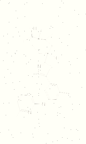 Cc1cc(Nc2nccc(C)n2)cc(-c2cnc(C3(O)CCC(C)(C(=O)O)C(C)C3)s2)c1